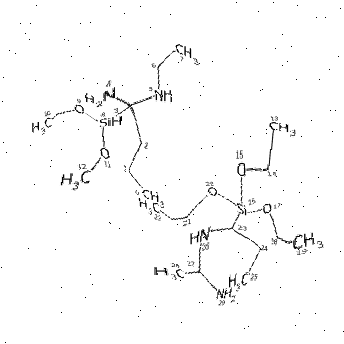 CCCC(N)(NCC)[SiH](OC)OC.CCO[Si](OCC)(OCC)C(CC)NC(C)N